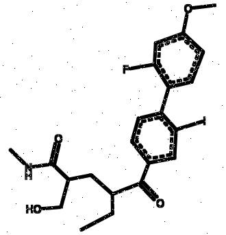 CCC(CC(CO)C(=O)NC)C(=O)c1ccc(-c2ccc(OC)cc2F)c(I)c1